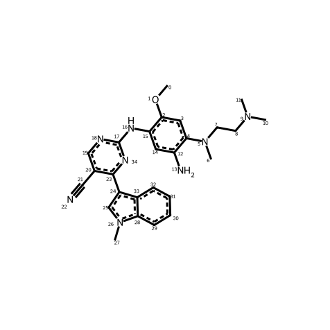 COc1cc(N(C)CCN(C)C)c(N)cc1Nc1ncc(C#N)c(-c2cn(C)c3ccccc23)n1